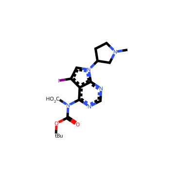 CN1CCC(n2cc(I)c3c(N(C(=O)O)C(=O)OC(C)(C)C)ncnc32)C1